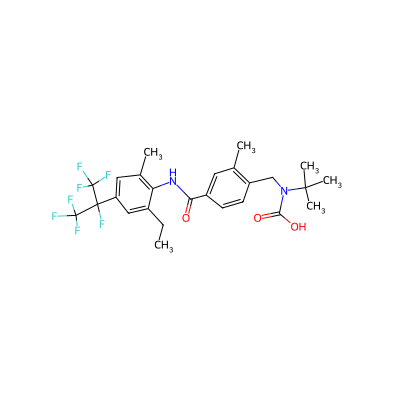 CCc1cc(C(F)(C(F)(F)F)C(F)(F)F)cc(C)c1NC(=O)c1ccc(CN(C(=O)O)C(C)(C)C)c(C)c1